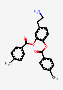 Cc1ccc(C(=O)Oc2ccc(CCN)cc2OC(=O)c2ccc(C)cc2)cc1